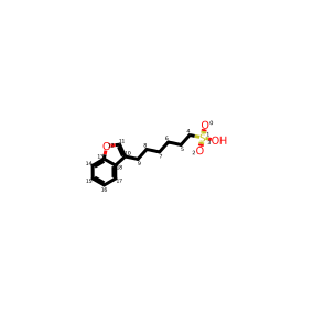 O=S(=O)(O)CCCCCCc1coc2ccccc12